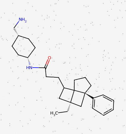 CC[C@]12CC(CCC(=O)N[C@H]3CC[C@@H](CN)CC3)C13CCC[C@]3(c1ccccc1)C2